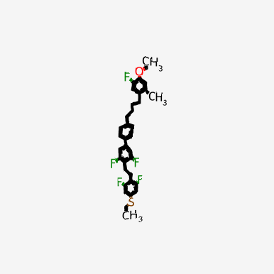 CCOc1cc(C)c(CCCCc2ccc(-c3cc(F)c(CCc4c(F)cc(SCC)cc4F)c(F)c3)cc2)cc1F